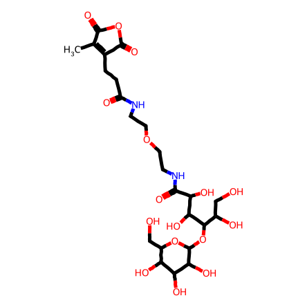 CC1=C(CCC(=O)NCCOCCNC(=O)C(O)C(O)C(OC2OC(CO)C(O)C(O)C2O)C(O)CO)C(=O)OC1=O